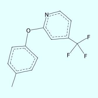 Cc1ccc(Oc2cc(C(F)(F)F)ccn2)cc1